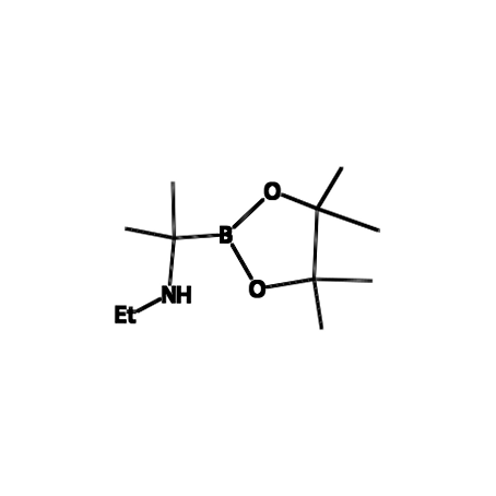 CCNC(C)(C)B1OC(C)(C)C(C)(C)O1